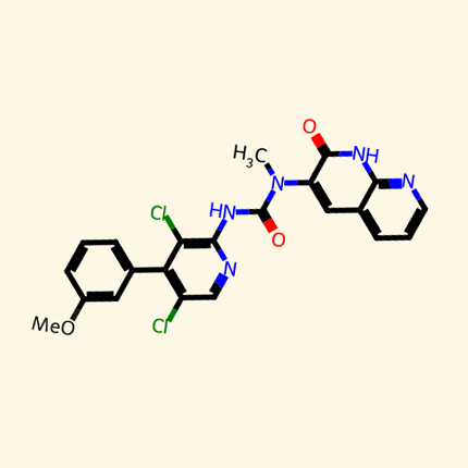 COc1cccc(-c2c(Cl)cnc(NC(=O)N(C)c3cc4cccnc4[nH]c3=O)c2Cl)c1